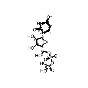 O=c1ccn([C@@H]2O[C@H](C(O)OP(=O)(O)OP(=O)(O)O)[C@@H](O)[C@H]2O)c(=O)[nH]1